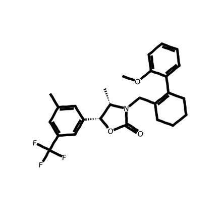 COc1ccccc1C1=C(CN2C(=O)O[C@H](c3cc(C)cc(C(F)(F)F)c3)[C@@H]2C)CCCC1